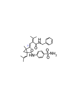 CC(C)=CC1(C(=O)Nc2ccc(S(N)(=O)=O)cc2)CC1(C)/C(C)=C/C(C(=O)NCc1ccccc1)=C(C)C